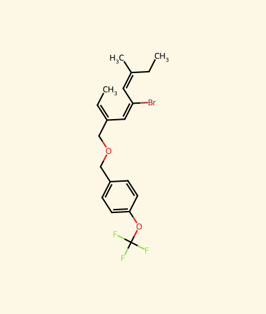 C\C=C(/C=C(Br)\C=C(\C)CC)COCc1ccc(OC(F)(F)F)cc1